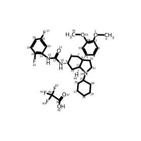 COc1ccc([C@@]23CC[C@@H](NC(=O)Nc4cc(F)ccc4F)C[C@@H]2N(C2CCCCC2)CC3)cc1OC.O=C(O)C(F)(F)F